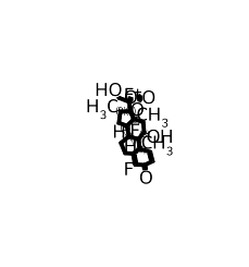 CCC(=O)O[C@@]1(C(=O)CO)[C@H](C)C[C@H]2[C@@H]3CCC4=C(F)C(=O)C=C[C@]4(C)[C@@]3(F)[C@@H](O)C[C@@]21C